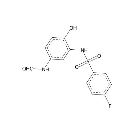 O=CNc1ccc(O)c(NS(=O)(=O)c2ccc(F)cc2)c1